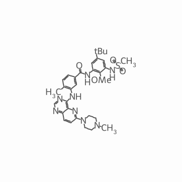 COc1c(NC(=O)c2ccc(C)c(Nc3ncnc4ccc(N5CCN(C)CC5)nc34)c2)cc(C(C)(C)C)cc1NS(C)(=O)=O